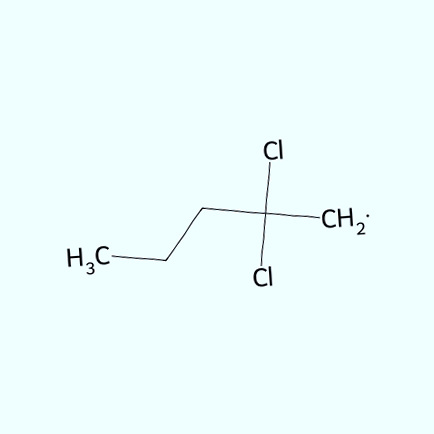 [CH2]C(Cl)(Cl)CCC